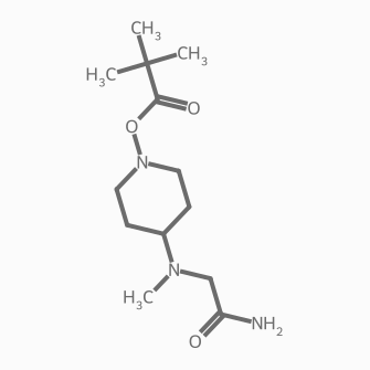 CN(CC(N)=O)C1CCN(OC(=O)C(C)(C)C)CC1